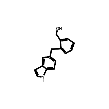 OCc1ccccc1Cc1ccc2[nH]ccc2c1